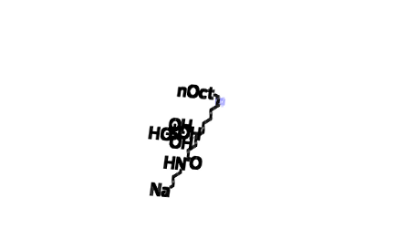 CCCCCCCC/C=C\CCCCCCCC(=O)NCC[CH2][Na].O[Si](O)(O)O